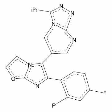 CC(C)c1nnc2ncc(-c3c(-c4ccc(F)cc4F)nc4occn34)cn12